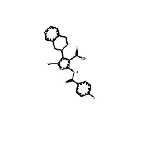 O=C(Nc1sc(Cl)c(C2CCc3ccccc3C2)c1C(=O)O)c1ccc(F)cc1